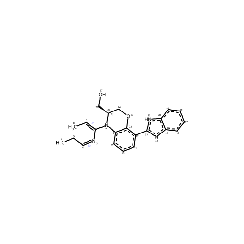 C/C=C(\N=C/CC)N1c2cccc(-c3nc4ccccc4[nH]3)c2OC[C@@H]1CO